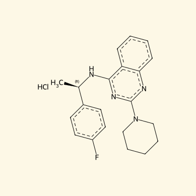 C[C@@H](Nc1nc(N2CCCCC2)nc2ccccc12)c1ccc(F)cc1.Cl